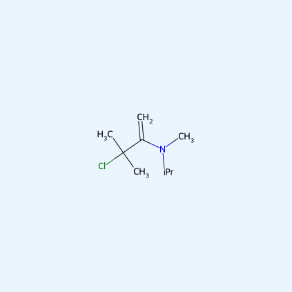 C=C(N(C)C(C)C)C(C)(C)Cl